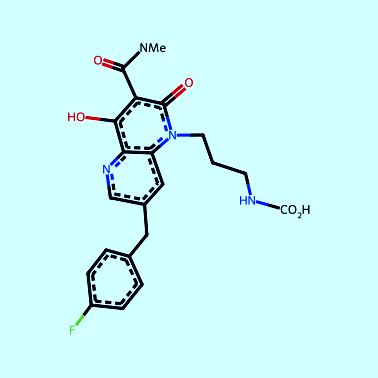 CNC(=O)c1c(O)c2ncc(Cc3ccc(F)cc3)cc2n(CCCNC(=O)O)c1=O